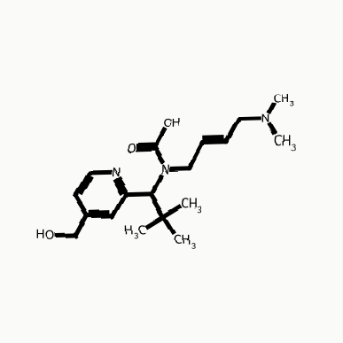 CN(C)CC=CCN(C(=O)O)C(c1cc(CO)ccn1)C(C)(C)C